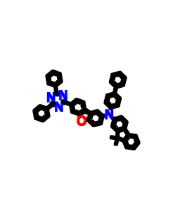 CC1(C)c2ccccc2-c2ccc(N(c3ccc(-c4ccccc4)cc3)c3ccc4oc5cc(-c6nc(-c7ccccc7)nc(-c7ccccc7)n6)ccc5c4c3)cc21